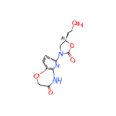 O=C1COc2ccc(N3C[C@@H](CCO)OC3=O)nc2N1